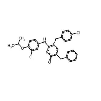 CC(C)Oc1ccc(Nc2nc(=O)c(Cc3ccccc3)cn2Cc2ccc(Cl)cc2)cc1Cl